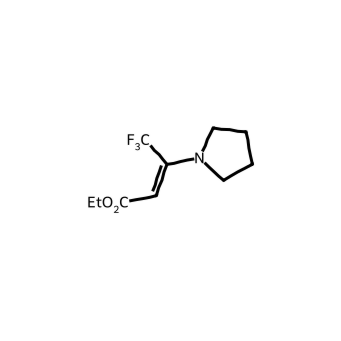 CCOC(=O)C=C(N1CCCC1)C(F)(F)F